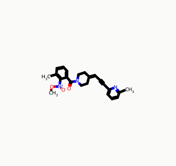 CO[N+](=O)c1c(C)cccc1C(=O)N1CCC(=CC#Cc2cccc(C)n2)CC1